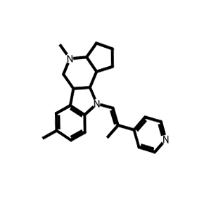 C/C(=C\N1c2ccc(C)cc2C2CN(C)C3CCCC3C21)c1ccncc1